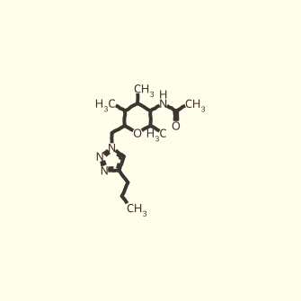 CCCc1cn(CC2OC(C)C(NC(C)=O)C(C)C2C)nn1